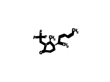 C=C(/C=C\C=C/C)[C@@H]1CCC(=O)N(CC(F)(F)F)[C@@H]1C